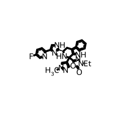 CCn1nc(C2(c3cnn(C)c3)N[C@@H](c3nc(-c4ccc(F)cn4)c[nH]3)Cc3c2[nH]c2ccccc32)oc1=O